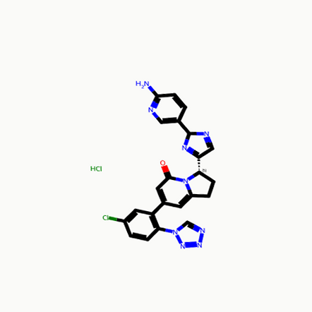 Cl.Nc1ccc(C2N=CC([C@@H]3CCc4cc(-c5cc(Cl)ccc5-n5cnnn5)cc(=O)n43)=N2)cn1